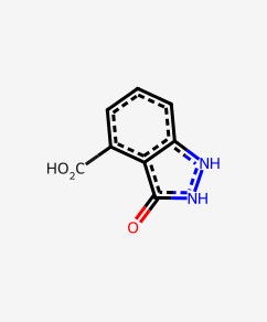 O=C(O)c1cccc2[nH][nH]c(=O)c12